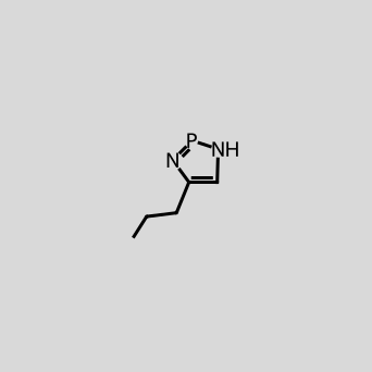 CCCc1c[nH]pn1